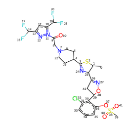 CC1SC(C2CCN(CC(=O)n3nc(C(F)F)cc3C(F)F)CC2)=NC1C1=NOC(c2c(Cl)cccc2OS(C)(=O)=O)C1